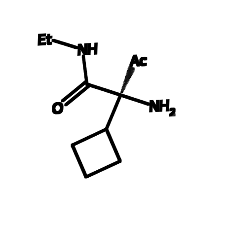 CCNC(=O)[C@](N)(C(C)=O)C1CCC1